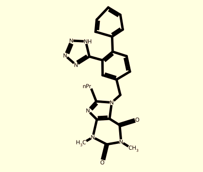 CCCc1nc2c(c(=O)n(C)c(=O)n2C)n1Cc1ccc(-c2ccccc2)c(-c2nnn[nH]2)c1